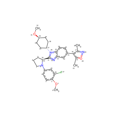 COc1ccc(N2CCC[C@H]2c2nc3cc(-c4c(C)noc4C)ccc3n2[C@H]2CC[C@H](OC)CC2)cc1F